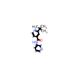 CC(C)(C)c1cc(C(=O)Nc2cccnc2)ccn1